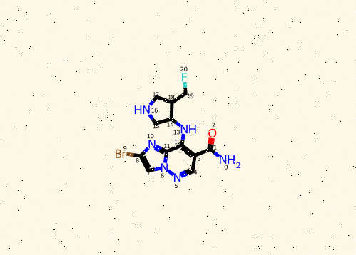 NC(=O)c1cnn2cc(Br)nc2c1NC1CNCC1CF